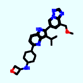 COCc1cc(-c2[nH]c3ccc(C4CCC(NC5COC5)CC4)nc3c2C(C)C)cn2ncnc12